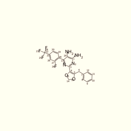 Nc1nc(C2=C(Cc3ccccc3)OCO2)nc(-c2ccc(C(F)(F)F)cc2F)c1N